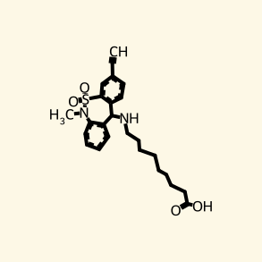 C#Cc1ccc2c(c1)S(=O)(=O)N(C)c1ccccc1C2NCCCCCCCCC(=O)O